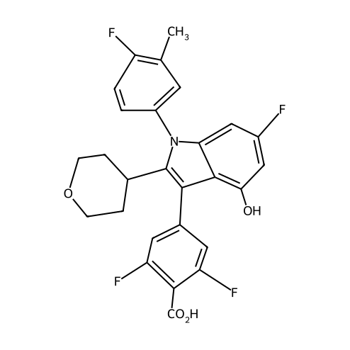 Cc1cc(-n2c(C3CCOCC3)c(-c3cc(F)c(C(=O)O)c(F)c3)c3c(O)cc(F)cc32)ccc1F